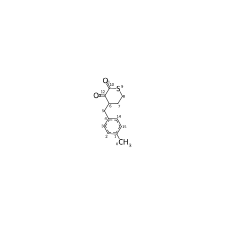 Cc1ccc(CC2CCSC(=O)C2=O)cc1